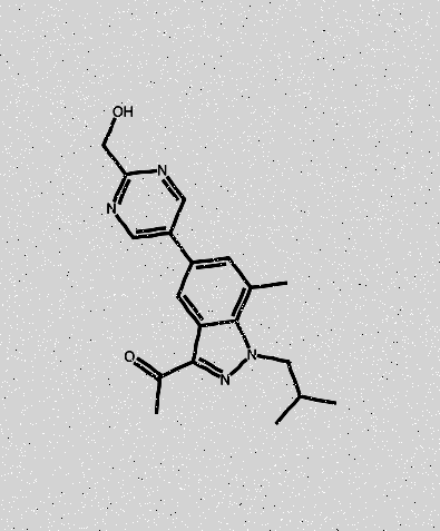 CC(=O)c1nn(CC(C)C)c2c(C)cc(-c3cnc(CO)nc3)cc12